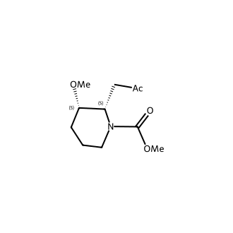 COC(=O)N1CCC[C@H](OC)[C@@H]1CC(C)=O